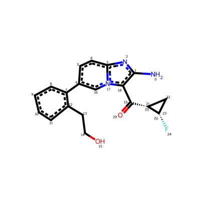 Nc1nc2ccc(-c3ccccc3CCO)cn2c1C(=O)[C@@H]1C[C@@H]1F